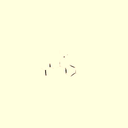 C=C(C)C(=O)OC(CC(F)(F)F)c1ccc(O)cc1